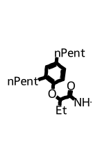 CCCCCc1ccc(OC(CC)C([NH])=O)c(CCCCC)c1